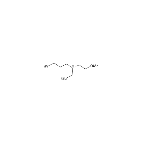 COCC[C@@H](CCCC(C)C)CC(C)(C)C